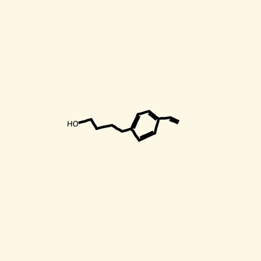 C=Cc1ccc(CCCCO)cc1